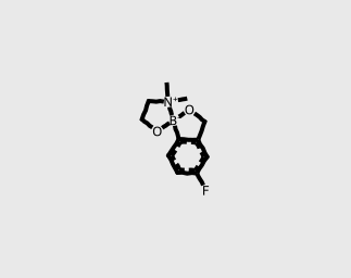 C[N+]1(C)CCO[B-]12OCc1cc(F)ccc12